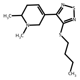 CCCCSc1nsnc1C1=CCC(C)N(C)C1